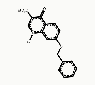 CCOC(=O)c1cn(CC)c2cc(OCc3ccccc3)ccc2c1=O